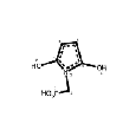 O=C(O)Cn1c(O)ccc1O